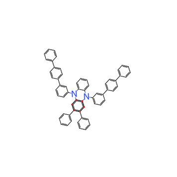 c1ccc(-c2ccc(-c3cccc(N(c4ccc(-c5ccccc5)cc4)c4ccccc4N(c4ccc(-c5ccccc5)cc4)c4cccc(-c5ccc(-c6ccccc6)cc5)c4)c3)cc2)cc1